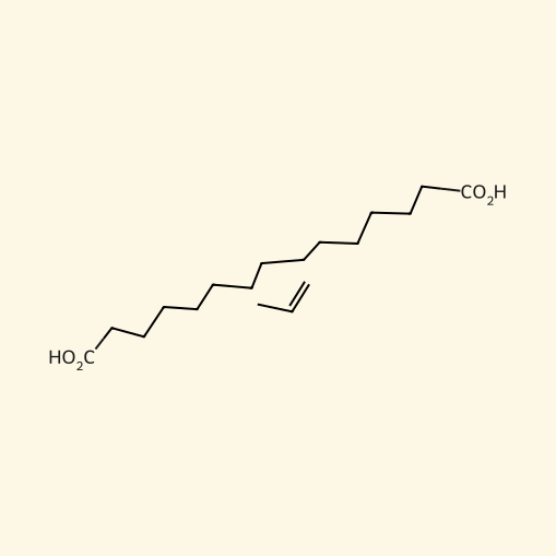 C=CC.O=C(O)CCCCCCCCCCCCCC(=O)O